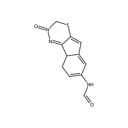 O=CNC1=CCC2C(=C1)C=C1SC[N+](=O)N=C12